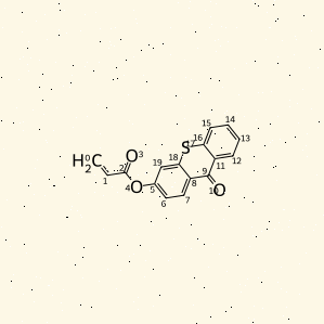 C=CC(=O)Oc1ccc2c(=O)c3ccccc3sc2c1